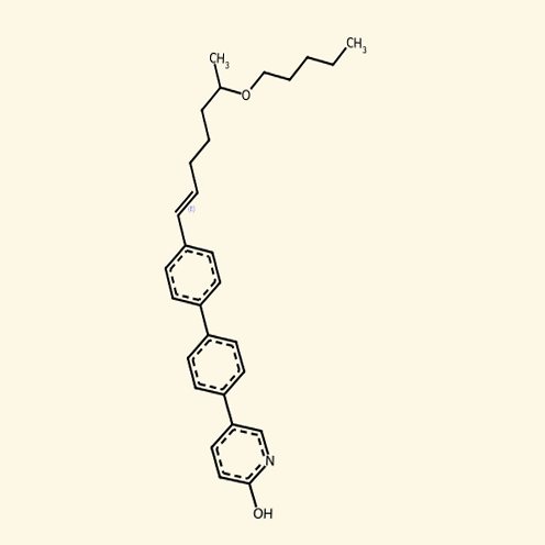 CCCCCOC(C)CCC/C=C/c1ccc(-c2ccc(-c3ccc(O)nc3)cc2)cc1